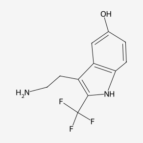 NCCc1c(C(F)(F)F)[nH]c2ccc(O)cc12